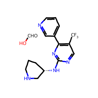 FC(F)(F)c1cnc(N[C@H]2CCCNC2)nc1-c1cccnc1.O=CO